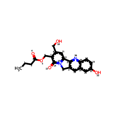 CCCC(=O)OCc1c(CO)cc2n(c1=O)Cc1cc3cc(O)ccc3nc1-2